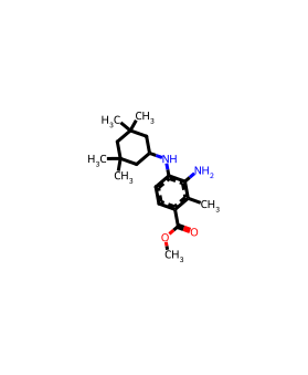 COC(=O)c1ccc(NC2CC(C)(C)CC(C)(C)C2)c(N)c1C